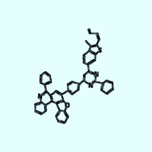 C=C/C=C\c1sc2cc(-c3cc(-c4ccc(-c5cc6c(-c7ccccc7)nc7ccccc7c6c6c5oc5ccccc56)cc4)nc(-c4ccccc4)n3)ccc2c1C